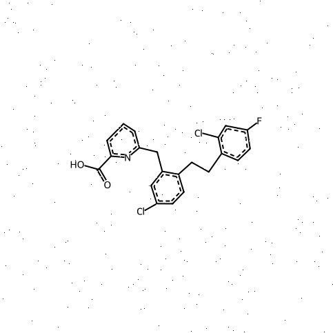 O=C(O)c1cccc(Cc2cc(Cl)ccc2CCc2ccc(F)cc2Cl)n1